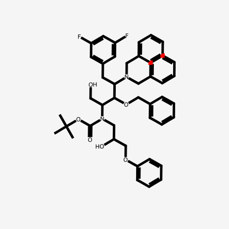 CC(C)(C)OC(=O)N(CC(O)COc1ccccc1)C(CO)C(OCc1ccccc1)C(Cc1cc(F)cc(F)c1)N(Cc1ccccc1)Cc1ccccc1